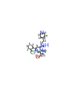 Clc1ccccc1-c1cc(NCCc2ccncc2)n2ncc(Br)c2n1